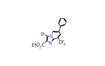 CCOC(=O)c1nc2c(C(F)(F)F)cc(-c3ccccc3)cn2c1Br